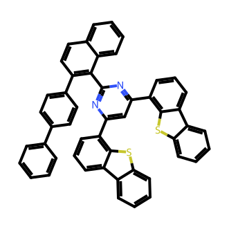 c1ccc(-c2ccc(-c3ccc4ccccc4c3-c3nc(-c4cccc5c4sc4ccccc45)cc(-c4cccc5c4sc4ccccc45)n3)cc2)cc1